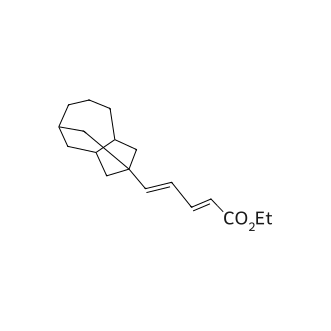 CCOC(=O)/C=C/C=C/C12CC3CCCC(C1)C(C3)C2